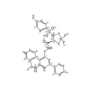 Cc1ccc(-c2cc(CNC(=O)[C@@H]3CC(F)(F)CN3S(=O)(=O)c3ccc(F)cc3)cc(NC(C)c3cccnc3)n2)cc1